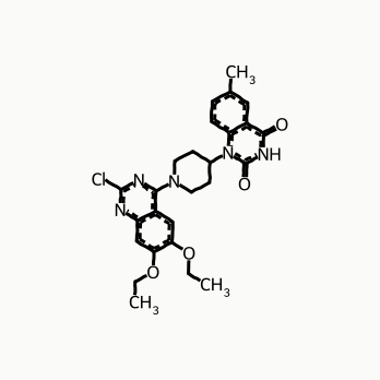 CCOc1cc2nc(Cl)nc(N3CCC(n4c(=O)[nH]c(=O)c5cc(C)ccc54)CC3)c2cc1OCC